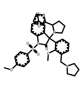 COc1ccc(S(=O)(=O)N2C(=O)C(c3cccc(CN4CCCC4)c3OC)(N3CCCC3c3ncco3)c3cc(Cl)ccc32)cc1